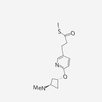 CN[C@H]1C[C@H](Oc2ccc(CCC(=O)SI)cn2)C1